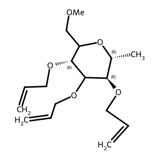 C=CCOC1[C@H](OCC=C)C(COC)O[C@H](C)[C@H]1OCC=C